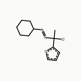 CC(Cl)(N=NC1CCCCC1)c1ccco1